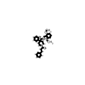 COc1cccc(OC)c1CNC(=O)C1(c2ccccc2)CCN(C(=O)CCc2ccccc2)CC1